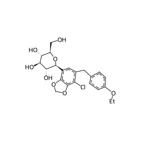 CCOc1ccc(Cc2cc([C@@H]3O[C@H](CO)[C@@H](O)[C@H](O)[C@H]3O)c3c(c2Cl)OCO3)cc1